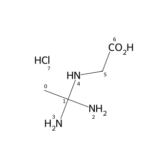 CC(N)(N)NCC(=O)O.Cl